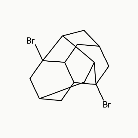 BrC12CC3CC4C1CC1CC2C(C3)C4(Br)C1